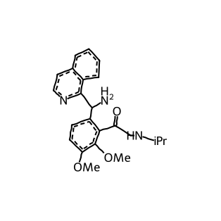 COc1ccc(C(N)c2nccc3ccccc23)c(C(=O)CNC(C)C)c1OC